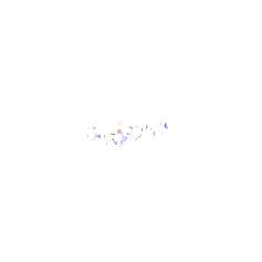 CN1CCCN(c2ccc(-n3cnc4cc(N5CCCC5=O)sc4c3=O)cc2)CC1